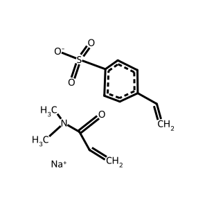 C=CC(=O)N(C)C.C=Cc1ccc(S(=O)(=O)[O-])cc1.[Na+]